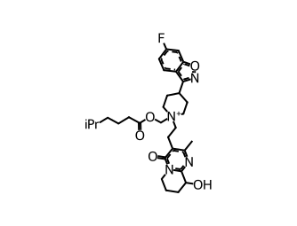 Cc1nc2n(c(=O)c1CC[N+]1(COC(=O)CCCC(C)C)CCC(c3noc4cc(F)ccc34)CC1)CCCC2O